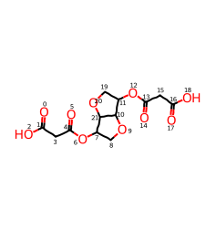 O=C(O)CC(=O)OC1COC2C(OC(=O)CC(=O)O)COC12